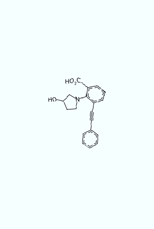 O=C(O)c1cccc(C#Cc2ccccc2)c1N1CCC(O)C1